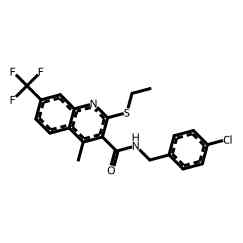 CCSc1nc2cc(C(F)(F)F)ccc2c(C)c1C(=O)NCc1ccc(Cl)cc1